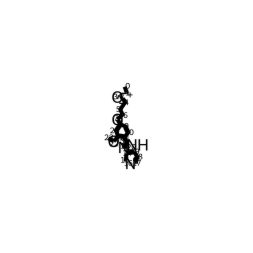 CC[S+]([O-])CCCOc1ccc(-c2nc3cnccc3[nH]2)c(OC)c1